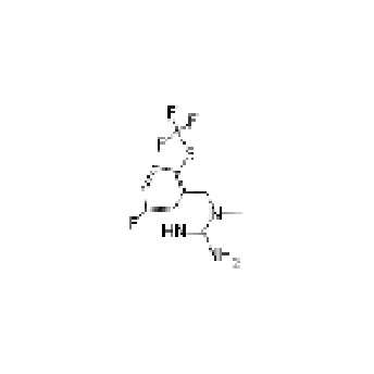 CN(Cc1cc(F)ccc1SC(F)(F)F)C(=N)N